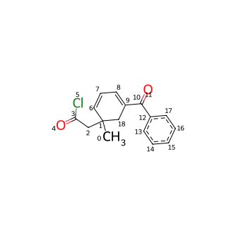 CC1(CC(=O)Cl)C=CC=C(C(=O)c2ccccc2)C1